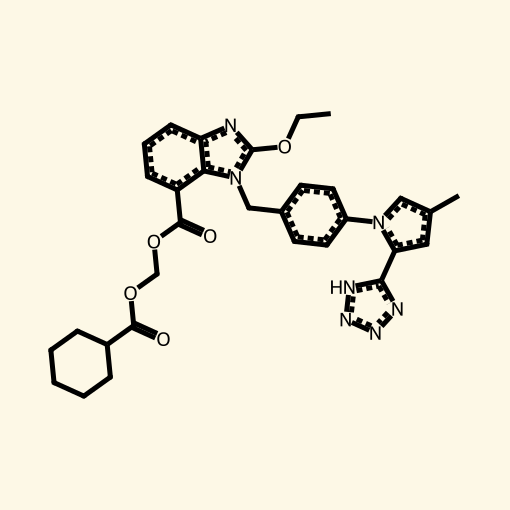 CCOc1nc2cccc(C(=O)OCOC(=O)C3CCCCC3)c2n1Cc1ccc(-n2cc(C)cc2-c2nnn[nH]2)cc1